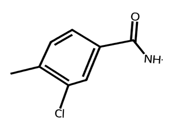 Cc1ccc(C([NH])=O)cc1Cl